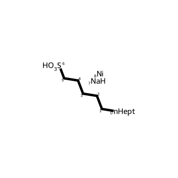 CCCCCCCCCCCCS(=O)(=O)O.[NaH].[Ni]